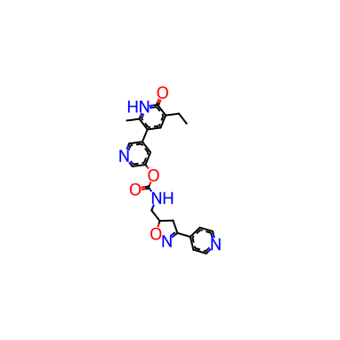 CCc1cc(-c2cncc(OC(=O)NCC3CC(c4ccncc4)=NO3)c2)c(C)[nH]c1=O